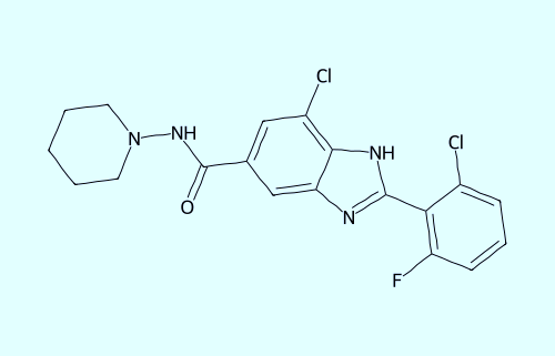 O=C(NN1CCCCC1)c1cc(Cl)c2[nH]c(-c3c(F)cccc3Cl)nc2c1